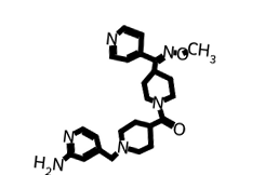 CON=C(c1ccncc1)C1CCN(C(=O)C2CCN(Cc3ccnc(N)c3)CC2)CC1